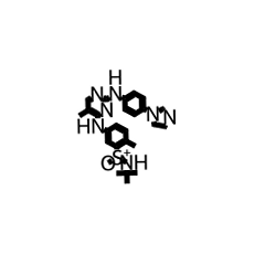 Cc1ccc(Nc2nc(Nc3ccc(N4C=NCC4)cc3)ncc2C)cc1[S+]([O-])NC(C)(C)C